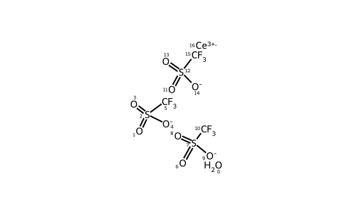 O.O=S(=O)([O-])C(F)(F)F.O=S(=O)([O-])C(F)(F)F.O=S(=O)([O-])C(F)(F)F.[Ce+3]